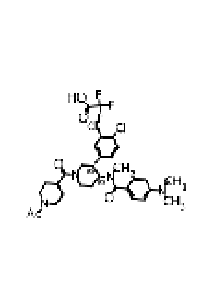 CC(=O)N1CCC(C(=O)N2CC[C@@H](N(C)C(=O)c3ccc(N(C)C)cc3)[C@H](c3ccc(Cl)c(Cl)c3)C2)CC1.O=C(O)C(F)(F)F